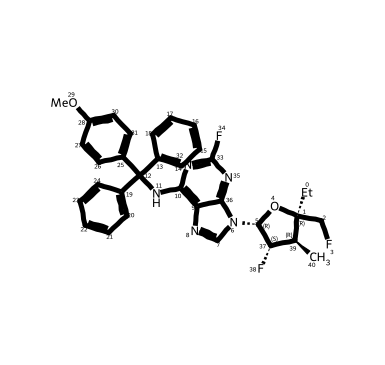 CC[C@@]1(CF)O[C@@H](n2cnc3c(NC(c4ccccc4)(c4ccccc4)c4ccc(OC)cc4)nc(F)nc32)[C@@H](F)[C@@H]1C